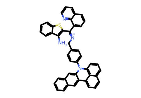 Nc1c(/C(=N\Cc2ccc(N3c4cc5ccccc5cc4-c4cccc5cccc3c45)cc2)c2cccc3cccnc23)sc2ccccc12